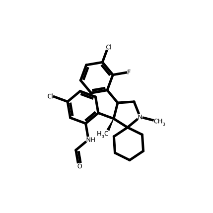 CN1CC(c2cccc(Cl)c2F)[C@@](C)(c2ccc(Cl)cc2NC=O)C12CCCCC2